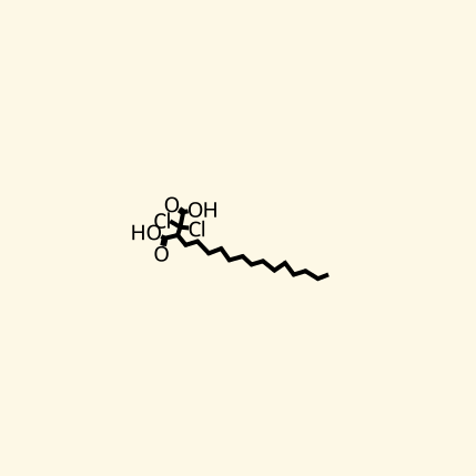 CCCCCCCCCCCCCCC(C(=O)O)C(Cl)(Cl)C(=O)O